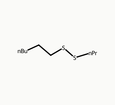 CCCCCCSSCCC